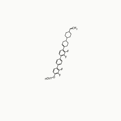 C=CC1CCC(C2CC=C(c3ccc(-c4ccc(-c5ccc(OCCCCCCCC)c(F)c5F)cc4)c(F)c3F)CC2)CC1